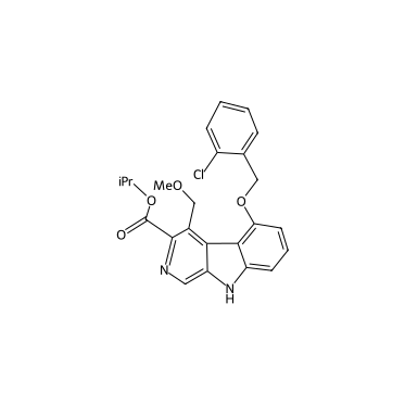 COCc1c(C(=O)OC(C)C)ncc2[nH]c3cccc(OCc4ccccc4Cl)c3c12